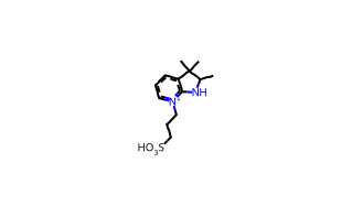 CC1Nc2c(ccc[n+]2CCCS(=O)(=O)O)C1(C)C